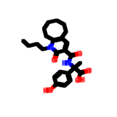 CCCCn1c2c(cc(C(=O)NC(C)(C(=O)O)c3ccc(O)cc3)c1=O)CCCCCC2